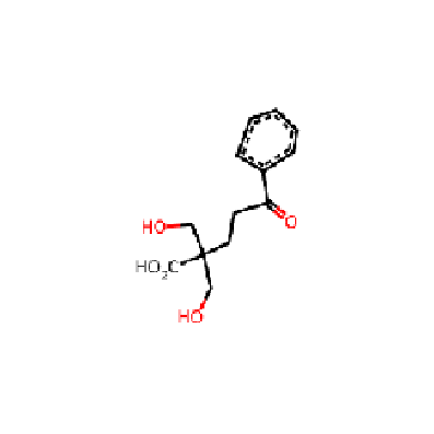 O=C(CCC(CO)(CO)C(=O)O)c1ccccc1